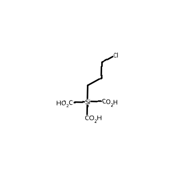 O=C(O)[Si](CCCCl)(C(=O)O)C(=O)O